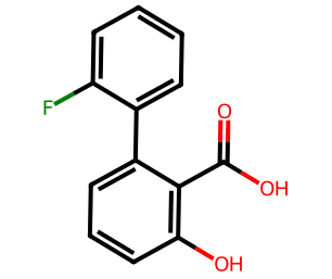 O=C(O)c1c(O)cccc1-c1ccccc1F